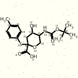 Cc1ccc(SC2(C(=O)O)CC(O)C(NC(=O)OC(C)(C)C)CO2)cc1